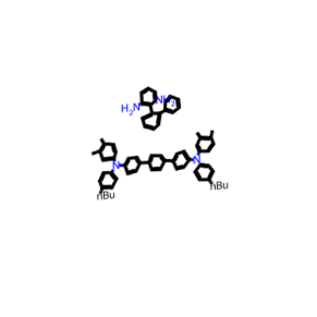 CCCCc1ccc(N(c2ccc(-c3ccc(-c4ccc(N(c5ccc(CCCC)cc5)c5ccc(C)c(C)c5)cc4)cc3)cc2)c2ccc(C)c(C)c2)cc1.Nc1cccc(N)c1-c1ccccc1-c1ccccc1